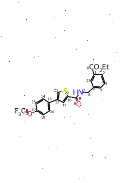 CCOC(=O)c1cccc(CNC(=O)c2cc(-c3ccc(OC(F)(F)F)cc3)cs2)c1